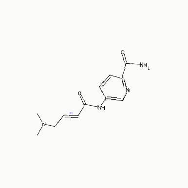 CN(C)C/C=C/C(=O)Nc1ccc(C(N)=O)nc1